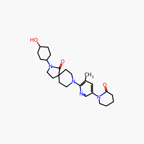 Cc1cc(N2CCCCC2=O)cnc1N1CCC2(CC1)CCN(C1CCC(O)CC1)C2=O